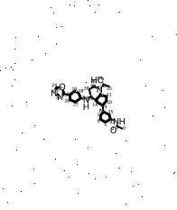 CC(=O)Nc1cccc(-c2ccc3c(c2)[C@H](Nc2ccc(-c4nnco4)cc2)C[C@H](C)N3C(C)O)c1